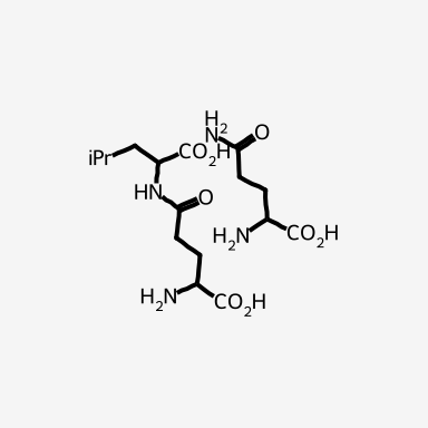 CC(C)CC(NC(=O)CCC(N)C(=O)O)C(=O)O.NC(=O)CCC(N)C(=O)O